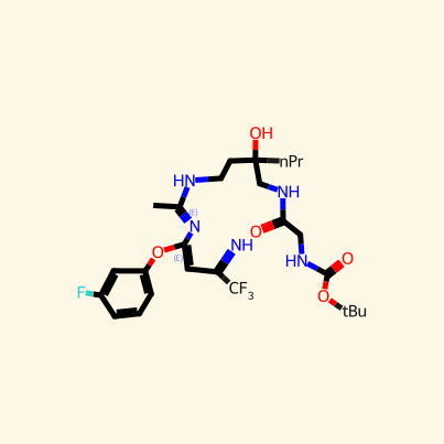 CCCC(O)(CCN/C(C)=N/C(=C\C(=N)C(F)(F)F)Oc1cccc(F)c1)CNC(=O)CNC(=O)OC(C)(C)C